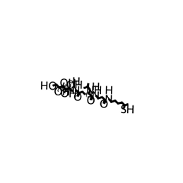 CC(S)CCCCNC(=O)CCNC(=O)[C@H](CCC(=O)NC[C@H](O)[C@@H](O)[C@H](O)[C@H](O)CO)NC(C)C